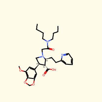 CCCCN(CCCC)C(=O)CN1C[C@H](c2cc(OC)c3c(c2)OCO3)[C@@H](C(=O)O)[C@@H]1CCc1ccccn1